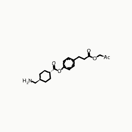 CC(=O)COC(=O)CCc1ccc(OC(=O)[C@H]2CC[C@H](CN)CC2)cc1